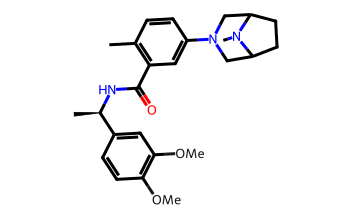 COc1ccc([C@@H](C)NC(=O)c2cc(N3CC4CCC(C3)N4C)ccc2C)cc1OC